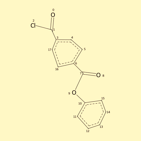 O=C(Cl)c1ccc(C(=O)Oc2ccccc2)cc1